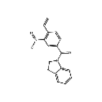 C=Cc1ccc(C(=O)N2CCc3ccccc32)cc1[N+](=O)[O-]